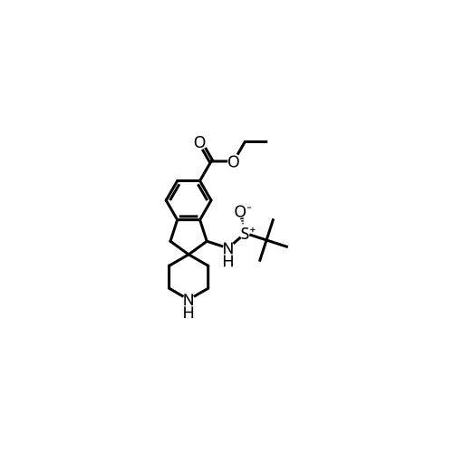 CCOC(=O)c1ccc2c(c1)C(N[S@+]([O-])C(C)(C)C)C1(CCNCC1)C2